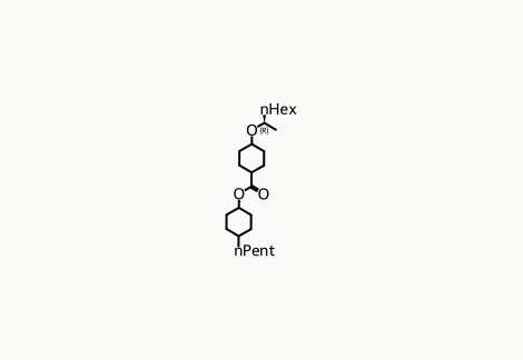 CCCCCC[C@@H](C)OC1CCC(C(=O)OC2CCC(CCCCC)CC2)CC1